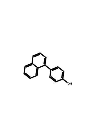 Oc1ccc(-c2cccc3ccccc23)cc1